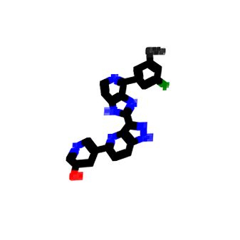 COc1cc(F)cc(-c2nccc3[nH]c(-c4n[nH]c5ccc(-c6cncc(O)c6)nc45)nc23)c1